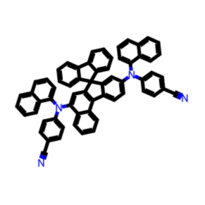 N#Cc1ccc(N(c2ccc3c(c2)C2(c4ccccc4-c4ccccc42)c2cc(N(c4ccc(C#N)cc4)c4cccc5ccccc45)c4ccccc4c2-3)c2cccc3ccccc23)cc1